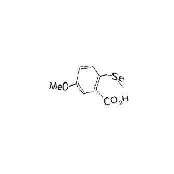 COc1ccc([Se]C)c(C(=O)O)c1